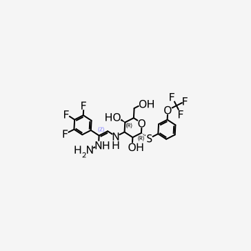 NN/C(=C\NC1C(O)[C@@H](Sc2cccc(OC(F)(F)F)c2)OC(CO)[C@@H]1O)c1cc(F)c(F)c(F)c1